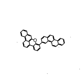 c1cc(-c2ccc3ccc4c5ccccc5ccc4c3c2)c2c(c1)-c1cccc3c1c(cc1ccccc13)O2